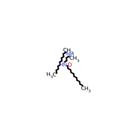 C=C(CCCCCCCCCCC)NC(C)CCCNC(=O)CCCCCCCCCCC